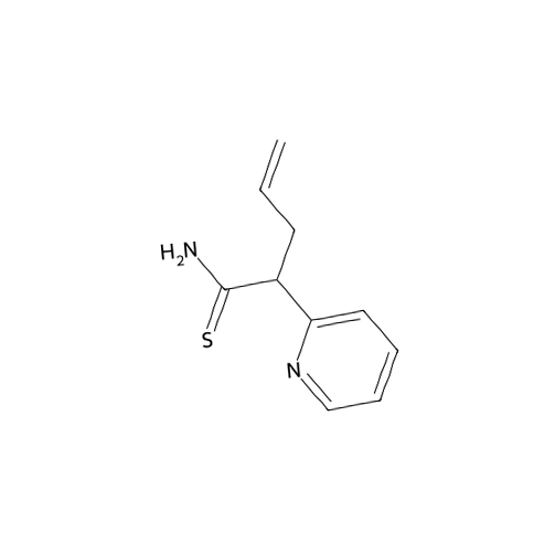 C=CCC(C(N)=S)c1ccccn1